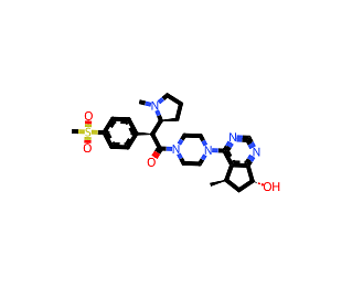 C[C@@H]1C[C@@H](O)c2ncnc(N3CCN(C(=O)[C@@H](c4ccc(S(C)(=O)=O)cc4)[C@@H]4CCCN4C)CC3)c21